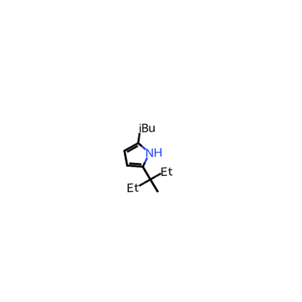 CCC(C)c1ccc(C(C)(CC)CC)[nH]1